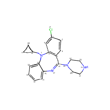 Clc1ccc2c(c1)N(C1CC1)c1ccccc1N=C2N1CCNCC1